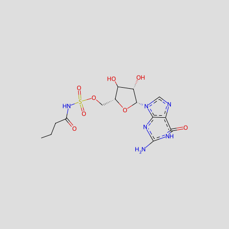 CCCC(=O)NS(=O)(=O)OC[C@H]1O[C@@H](n2cnc3c(=O)[nH]c(N)nc32)[C@@H](O)C1O